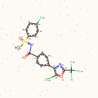 CS(=O)(=NC(=O)c1ccc(-c2nc(C(F)(F)F)oc2Cl)cc1)c1ccc(F)cc1